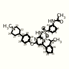 CC(=O)Nc1cccc(S(=O)(=O)Nc2nc(Oc3ccc(C4CCN(C)CC4)cc3)cc(-c3ccccc3C(C)C)n2)c1